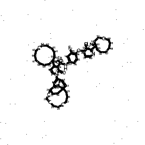 CCOC1(c2ccn(C3=CC4=C(F)C5(C=C3)CCCCCCCCCC4CC5)c(=O)c2C(=O)Nc2ccc(Oc3ccnc(C4(N)CCCCCCCCC4)c3Cl)c(F)c2)CCCCCCCCCCCC1